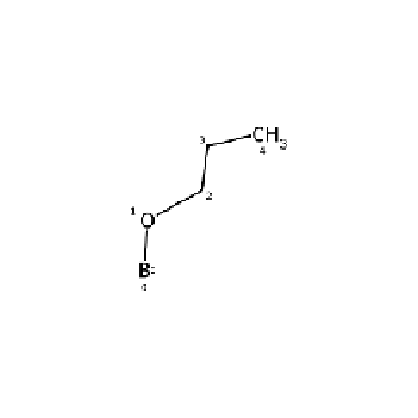 [B]OCCC